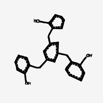 Oc1ccccc1Cc1cc(Cc2ccccc2O)cc(Cc2ccccc2O)c1